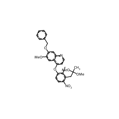 COc1cc2c(Oc3ccc([N+](=O)[O-])c(CC(C)(OC)OC)c3F)ccnc2cc1OCc1ccccc1